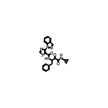 O=C(NC1CC1)C(=O)C(Cc1ccccc1)NC(=O)c1scnc1-n1ncc2ccccc21